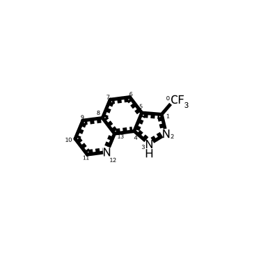 FC(F)(F)c1n[nH]c2c1ccc1cccnc12